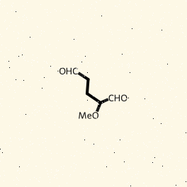 COC([C]=O)CC[C]=O